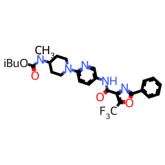 CC(C)COC(=O)N(C)C1CCN(c2ccc(NC(=O)c3nc(-c4ccccc4)oc3C(F)(F)F)cn2)CC1